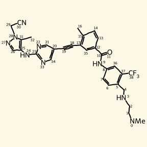 CNCCNCc1ccc(NC(=O)c2ccc(C)c(C#Cc3cnc(Nc4cnn(CC#N)c4C)nc3)c2)cc1C(F)(F)F